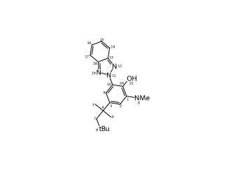 CNc1cc(C(C)(C)CC(C)(C)C)cc(-n2nc3ccccc3n2)c1O